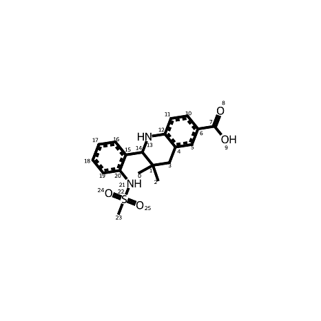 CC1(C)Cc2cc(C(=O)O)ccc2NC1c1ccccc1NS(C)(=O)=O